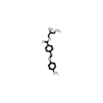 CCC(C)COC(=O)c1ccc(C=Nc2ccc(C)cc2)cc1